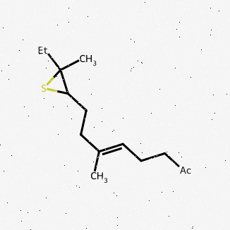 CCC1(C)SC1CCC(C)=CCCC(C)=O